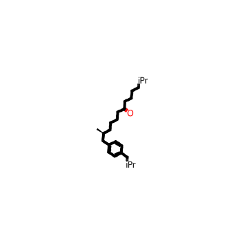 CC(C)CCCCC(=O)CCCC[C@H](C)Cc1ccc(CC(C)C)cc1